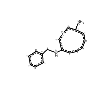 Nc1cccccc(NCc2ccccc2)ccc1